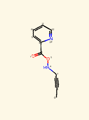 CC#CCNOC(=O)c1ccccn1